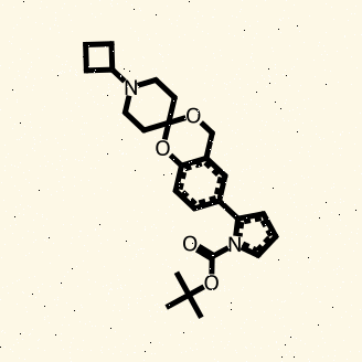 CC(C)(C)OC(=O)n1cccc1-c1ccc2c(c1)COC1(CCN(C3CCC3)CC1)O2